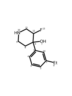 CCc1cccc(C2(O)CCNCC2F)c1